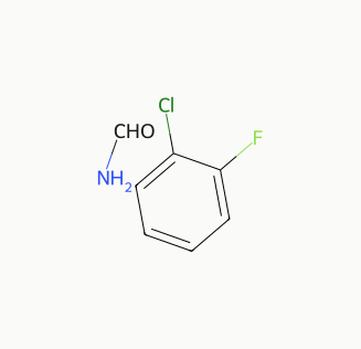 Fc1ccccc1Cl.NC=O